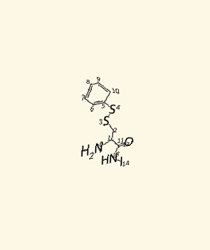 NC(CSSc1ccccc1)C(=O)NI